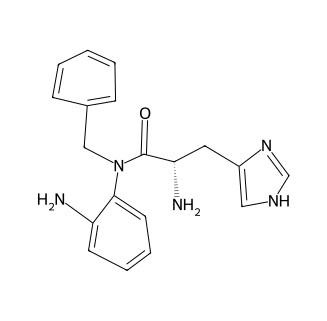 Nc1ccccc1N(Cc1ccccc1)C(=O)[C@@H](N)Cc1c[nH]cn1